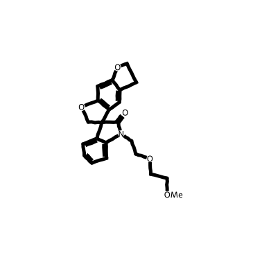 COCCOCCN1C(=O)C2(COc3cc4c(cc32)CCO4)c2ccccc21